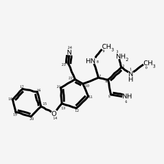 CN/C(N)=C(\C=N)C(NC)c1ccc(Oc2ccccc2)cc1C#N